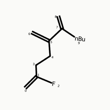 C=C(F)CCC(=C)C(=C)CCCC